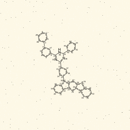 c1ccc(-c2cccc(C3=NC(c4ccc(-n5c6ccccc6c6cc7c(cc65)sc5ccccc57)cc4)=NC(c4ccccc4)N3)c2)cc1